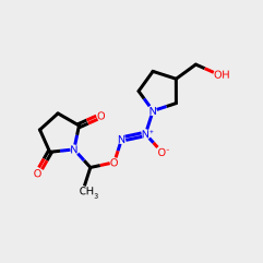 CC(O/N=[N+](\[O-])N1CCC(CO)C1)N1C(=O)CCC1=O